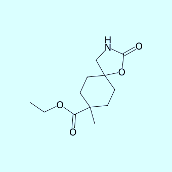 CCOC(=O)C1(C)CCC2(CC1)CNC(=O)O2